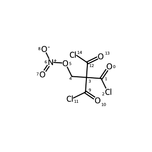 O=C(Cl)C(CO[N+](=O)[O-])(C(=O)Cl)C(=O)Cl